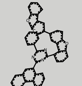 c1ccc(-c2nc(-c3cc4ccccc4c4ccccc34)nc(-c3cccc4oc5ccc(-c6ccc7oc8ccccc8c7c6)cc5c34)n2)cc1